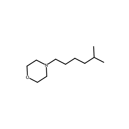 CC(C)CCCCN1CCOCC1